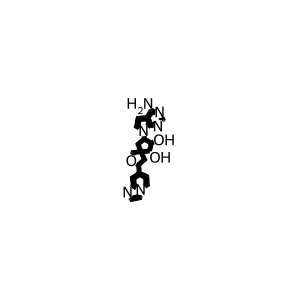 Nc1ncnc2c1ccn2C1CC2(COC(c3ccn4ccnc4c3)C2)C(O)C1O